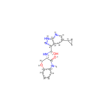 CN1C(=O)[C@@H](NC(O)c2n[nH]c3ncc(C4CC4)cc23)COc2ccccc21